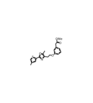 COC(=O)Cc1cccc(OCCc2nc(-c3cc(C)cs3)oc2C)c1